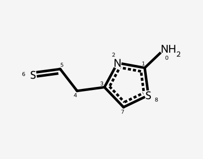 Nc1nc(CC=S)cs1